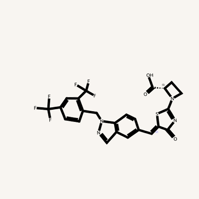 O=C1N=C(N2CC[C@H]2C(=O)O)S/C1=C\c1ccc2c(cnn2Cc2ccc(C(F)(F)F)cc2C(F)(F)F)c1